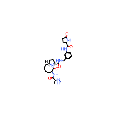 CNC(C)C(=O)N[C@H]1CCCC[C@H]2CC[C@@H](C(=O)NCc3cccc(NC(=O)C4CCC(=O)N4)c3)N2C1=O